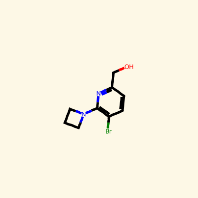 OCc1ccc(Br)c(N2CCC2)n1